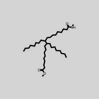 CCCCCCCCC(CCCCCCCCC(=O)NC)C(CCCCCCCC)CCCCCCCCC(=O)OC